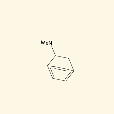 CNC1Cc2ccc1cc2